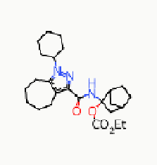 CCOC(=O)OC1(NC(=O)c2nn(C3CCCCC3)c3c2CCCCC3)CC2CCC1C2